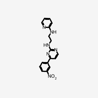 O=[N+]([O-])c1cccc(-c2ccnc(NCCNc3ccccn3)n2)c1